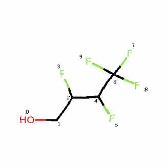 OCC(F)C(F)C(F)(F)F